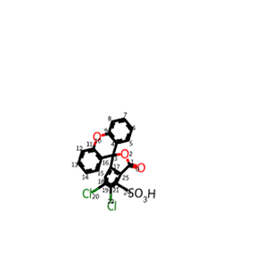 O=C1OC2(c3ccccc3Oc3ccccc32)c2cc(Cl)c(Cl)c(S(=O)(=O)O)c21